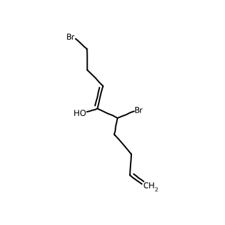 C=CCCC(Br)C(O)=CCCBr